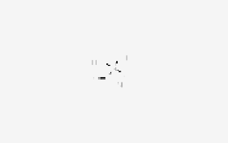 C[Si](C)(C)S[O-].[Na+]